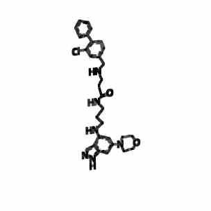 O=C(CCNCc1ccc(-c2ccccc2)c(Cl)c1)NCCCNc1cc(N2CCOCC2)cc2[nH]ncc12